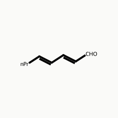 CCC/C=C/C=CC=O